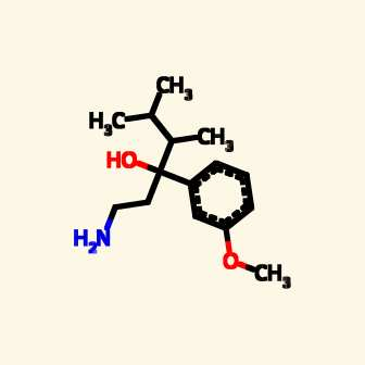 COc1cccc(C(O)(CCN)C(C)C(C)C)c1